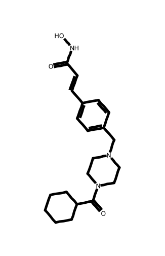 O=C(C=Cc1ccc(CN2CCN(C(=O)C3CCCCC3)CC2)cc1)NO